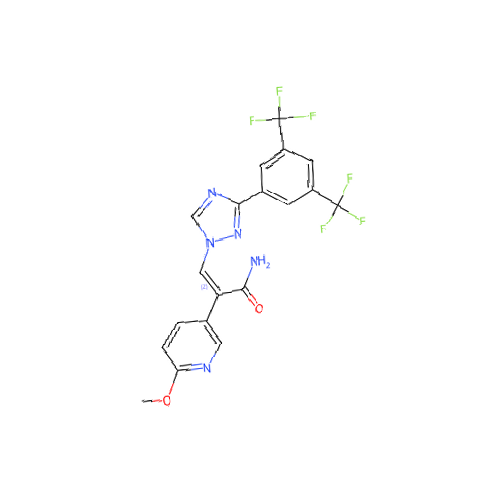 COc1ccc(/C(=C/n2cnc(-c3cc(C(F)(F)F)cc(C(F)(F)F)c3)n2)C(N)=O)cn1